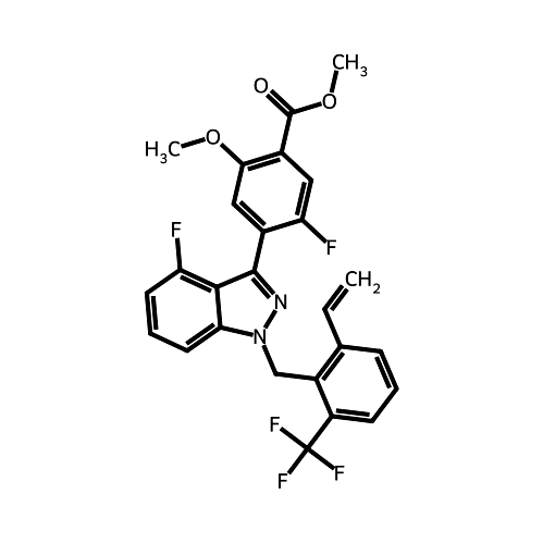 C=Cc1cccc(C(F)(F)F)c1Cn1nc(-c2cc(OC)c(C(=O)OC)cc2F)c2c(F)cccc21